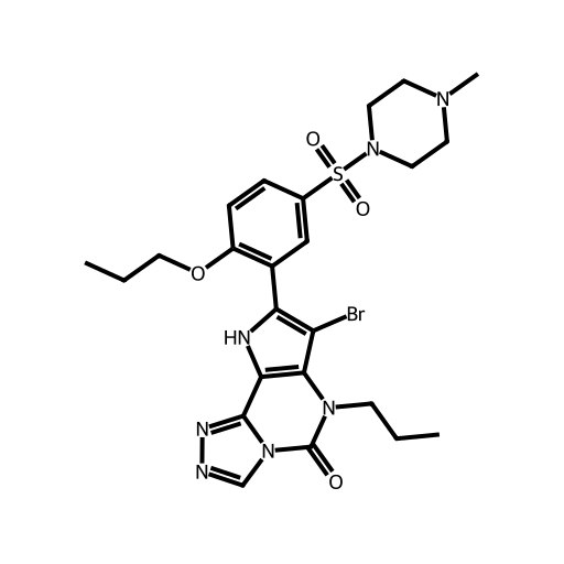 CCCOc1ccc(S(=O)(=O)N2CCN(C)CC2)cc1-c1[nH]c2c(c1Br)n(CCC)c(=O)n1cnnc21